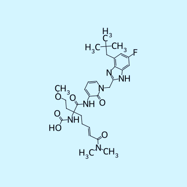 COCCC(CCC=CC(=O)N(C)C)(NC(=O)O)C(=O)Nc1cccn(Cc2nc3c(CC(C)(C)C)cc(F)cc3[nH]2)c1=O